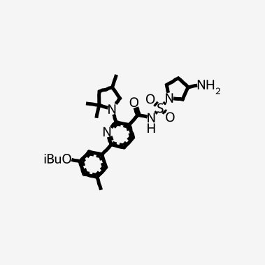 Cc1cc(OCC(C)C)cc(-c2ccc(C(=O)NS(=O)(=O)N3CCC(N)C3)c(N3CC(C)CC3(C)C)n2)c1